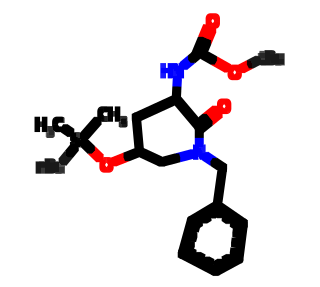 CCCC[Si](C)(C)OC1CC(NC(=O)OC(C)(C)C)C(=O)N(Cc2ccccc2)C1